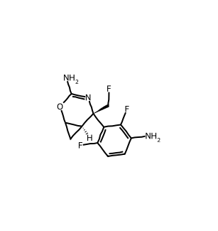 NC1=N[C@](CF)(c2c(F)ccc(N)c2F)[C@H]2CC2O1